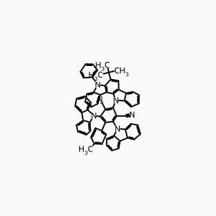 Cc1ccc(-c2c(-n3c4ccccc4c4ccccc43)c(C#N)c(-n3c4ccccc4c4cc(C(C)(C)C)c5c(c6ccccc6n5-c5ccccc5)c43)c(C#N)c2-n2c3ccccc3c3ccccc32)cc1